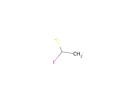 [CH2]C([S])I